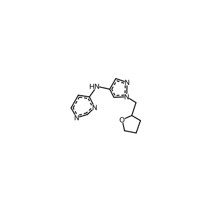 c1cc(Nc2cnn(CC3CCCO3)c2)ncn1